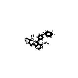 Nc1ncnc2c1c(-c1ccc(Oc3ccccc3)cc1)nn2CC1SSCC1O